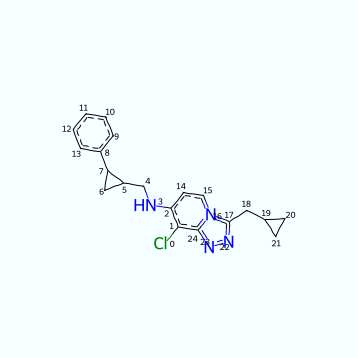 Clc1c(NCC2CC2c2ccccc2)ccn2c(CC3CC3)nnc12